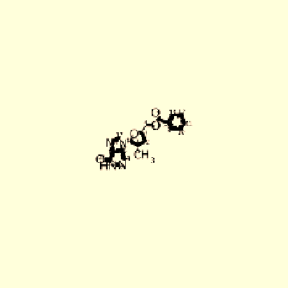 C[C@H]1C[C@@H](COC(=O)c2ccccc2)O[C@H]1n1cnc2c(=O)[nH]ncc21